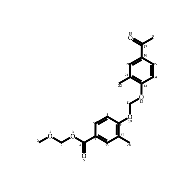 COCOC(=O)c1ccc(OCOc2ccc(C(C)=O)cc2C)c(C)c1